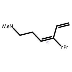 C=C/C(=C\CCNC)CCC